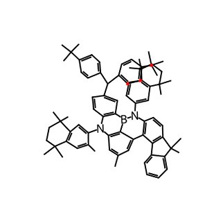 Cc1cc2c3c(c1)N(c1cc4c(cc1C)C(C)(C)CCC4(C)C)c1ccc(C(c4ccc(C(C)(C)C)cc4)c4ccc(C(C)(C)C)cc4)cc1B3N(c1ccc3c(c1)C(C)(C)CCC3(C)C)c1ccc3c(c1-2)-c1ccccc1C3(C)C